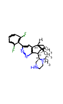 CN1CCNC[C@H]1[C@@]12CC[C@@H](c3cc(-c4c(F)cccc4F)nnc31)C2(C)C